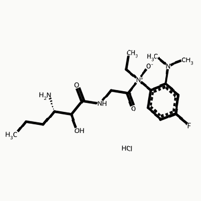 CCC[C@H](N)C(O)C(=O)NCC(=O)[N+]([O-])(CC)c1ccc(F)cc1N(C)C.Cl